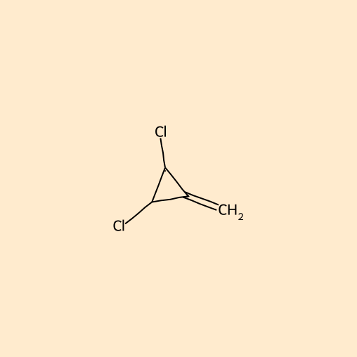 C=C1[C](Cl)C1Cl